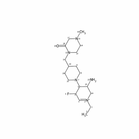 CC[N+]1=CC(F)C(N2CCC(CN3CCN(C)CC3=O)CC2)C(N)C1